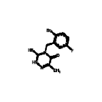 CC1=NNC(S)N(Cc2cc(F)ccc2Br)C1=O